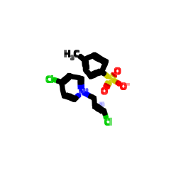 Cc1ccc(S(=O)(=O)[O-])cc1.Cl/C=C/C[n+]1ccc(Cl)cc1